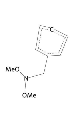 CON(Cc1ccccc1)OC